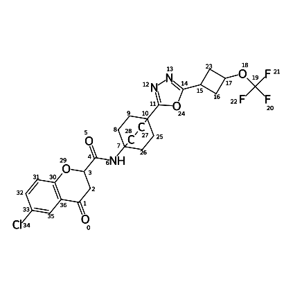 O=C1CC(C(=O)NC23CCC(c4nnc(C5CC(OC(F)(F)F)C5)o4)(CC2)CC3)Oc2ccc(Cl)cc21